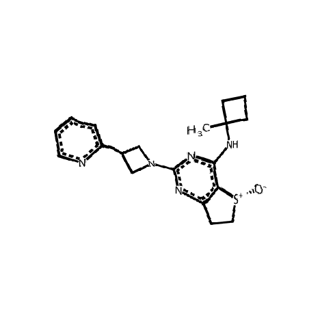 CC1(Nc2nc(N3CC(c4ccccn4)C3)nc3c2[S@+]([O-])CC3)CCC1